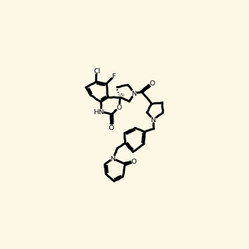 O=C1Nc2ccc(Cl)c(F)c2[C@]2(CCN(C(=O)C3CCN(Cc4ccc(Cn5ccccc5=O)cc4)C3)C2)O1